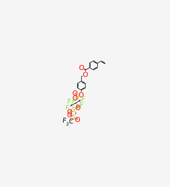 C=Cc1ccc(C(=O)OCc2ccc(OS(=O)(=O)C(F)(F)C(F)(F)C(F)(F)S(=O)(=O)CS(=O)(=O)C(F)(F)F)cc2)cc1